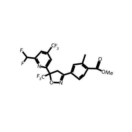 COC(=O)c1ccc(C2=NOC(c3cc(C(F)(F)F)cc(C(F)F)n3)(C(F)(F)F)C2)cc1C